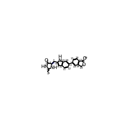 O=C1NC(=S)N/C1=C\c1cc2ccc(-c3ccc4c(c3)COC4=O)cc2[nH]1